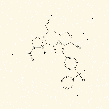 C=CC(=O)N1C2C[C@@H](C1c1nc(-c3ccc(C(C)(O)c4ccccc4)cc3)c3c(N)nccn13)N(C(C)=O)C2